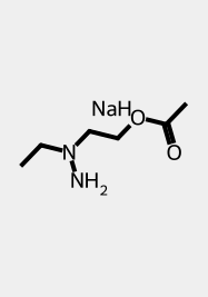 CCN(N)CCOC(C)=O.[NaH]